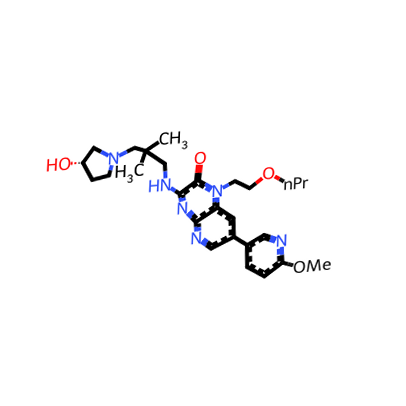 CCCOCCn1c(=O)c(NCC(C)(C)CN2CC[C@H](O)C2)nc2ncc(-c3ccc(OC)nc3)cc21